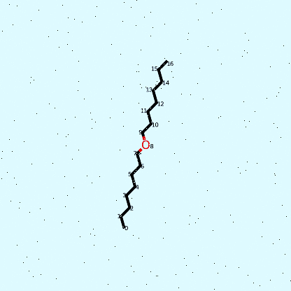 CCCCCCC[CH]OCCCCCCCC